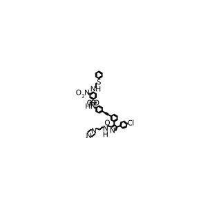 CN1CCN(CCCNC(=O)c2c(-c3cccc(C#Cc4ccc(NS(=O)(=O)c5ccc(NCCSc6ccccc6)c([N+](=O)[O-])c5)cc4)c3)c(-c3ccc(Cl)cc3)cn2C)CC1